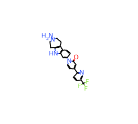 NN1CCc2[nH]c3cc(-n4ccc(-c5ccc(C(F)(F)F)cn5)cc4=O)ccc3c2CC1